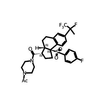 CC(=O)N1CCN(C(=O)[C@H]2CC[C@@]3(S(=O)(=O)c4ccc(F)cc4)c4ccc(C(C)(F)C(F)(F)F)cc4CC[C@@H]23)CC1